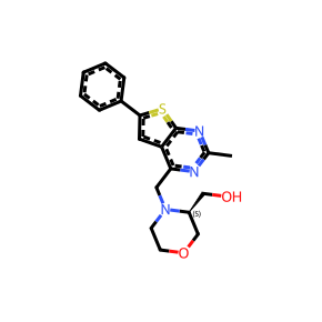 Cc1nc(CN2CCOC[C@@H]2CO)c2cc(-c3ccccc3)sc2n1